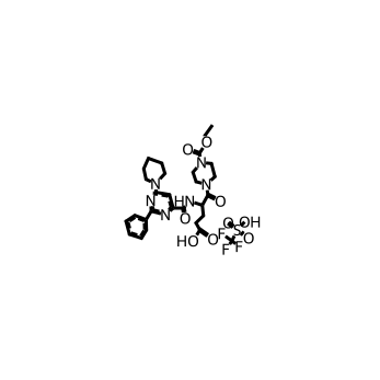 CCOC(=O)N1CCN(C(=O)C(CCC(=O)O)NC(=O)c2cc(N3CCCCC3)nc(-c3ccccc3)n2)CC1.O=S(=O)(O)C(F)(F)F